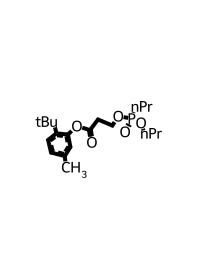 CCCOP(=O)(CCC)OCCC(=O)Oc1cc(C)ccc1C(C)(C)C